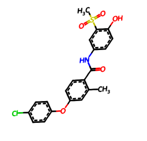 Cc1cc(Oc2ccc(Cl)cc2)ccc1C(=O)Nc1ccc(O)c(S(C)(=O)=O)c1